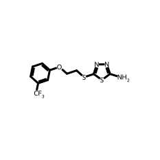 Nc1nnc(SCCOc2cccc(C(F)(F)F)c2)s1